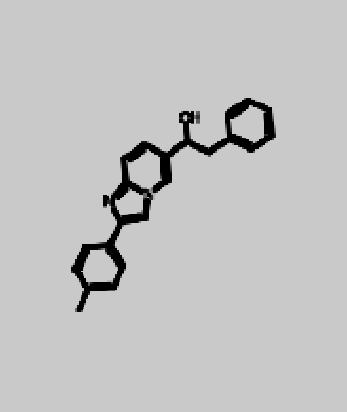 Cc1ccc(-c2cn3cc(C(O)Cc4ccccc4)ccc3n2)cc1